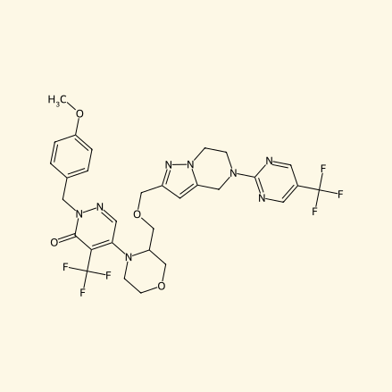 COc1ccc(Cn2ncc(N3CCOCC3COCc3cc4n(n3)CCN(c3ncc(C(F)(F)F)cn3)C4)c(C(F)(F)F)c2=O)cc1